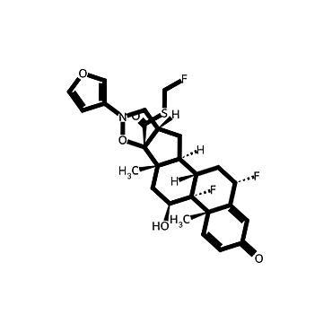 C[C@]12C=CC(=O)C=C1[C@@H](F)C[C@H]1[C@@H]3C[C@H]4CN(c5ccoc5)O[C@@]4(C(=O)SCF)[C@@]3(C)C[C@H](O)[C@@]12F